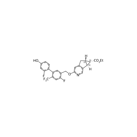 CCOC(=O)[C@H]1[C@H]2Cc3cc(OCc4cc(-c5ccc(O)cc5F)c(C(F)(F)F)cc4F)ncc3[C@@H]21